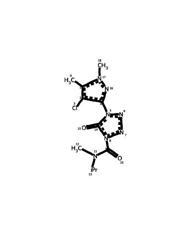 Cc1c(Cl)c(-n2nnn(C(=O)N(C)C(C)C)c2=O)nn1C